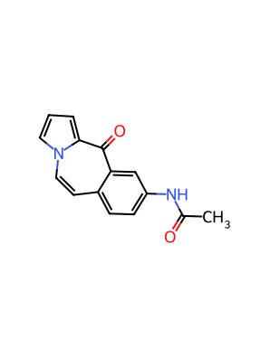 CC(=O)Nc1ccc2ccn3cccc3c(=O)c2c1